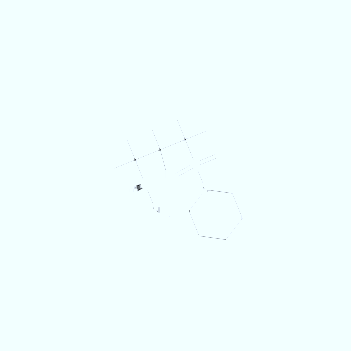 NS(=O)(=O)C(F)(F)C(F)(F)C(F)(F)S(=O)(=O)N1CCCCC1